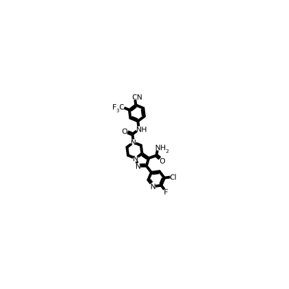 N#Cc1ccc(NC(=O)N2CCn3nc(-c4cnc(F)c(Cl)c4)c(C(N)=O)c3C2)cc1C(F)(F)F